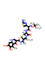 CCC(NC(=O)c1c[nH]c2cc(O)c(O)c(C#N)c2c1=O)C1=C(C(=O)O)N2C(=O)C(NC(=O)/C(=N\OC(C)(C)C(=O)O)c3csc(N)n3)[C@@H]2SC1